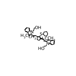 CC1(C)/C(=C\C=C2/CCC(/C=C/C3N(CCO)c4ccccc4C3(C)C)=C2SC2CCCCC2)N(CCO)c2ccccc21